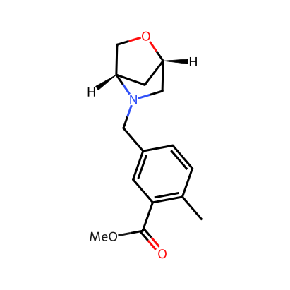 COC(=O)c1cc(CN2C[C@@H]3C[C@H]2CO3)ccc1C